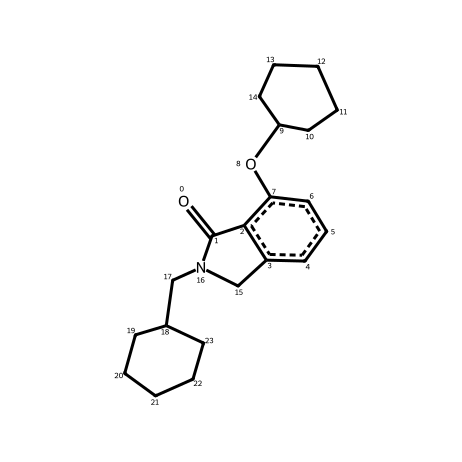 O=C1c2c(cccc2OC2CCCCC2)CN1CC1CCCCC1